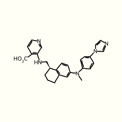 CN(c1ccc(-n2ccnc2)cc1)c1ccc2c(c1)CCC[C@H]2CNc1cnccc1C(=O)O